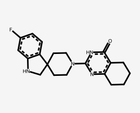 O=c1[nH]c(N2CCC3(CC2)CNc2cc(F)ccc23)nc2c1CCCC2